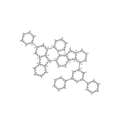 c1ccc(-c2cc(-c3ccccc3)nc(-c3cccc4sc5cc(-n6c7ccccc7c7cc(-c8ccccc8)cc(-c8ccccc8)c76)ccc5c34)c2)cc1